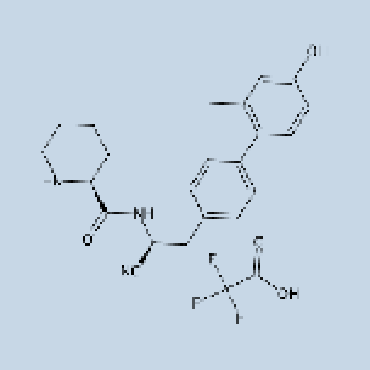 Cc1cc(O)ccc1-c1ccc(C[C@@H](C#N)NC(=O)[C@@H]2CCCCN2)cc1.O=C(O)C(F)(F)F